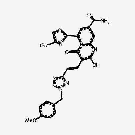 COc1ccc(Cn2nnc(C=Cc3c(O)nc4cc(C(N)=O)cc(-c5nc(C(C)(C)C)cs5)n4c3=O)n2)cc1